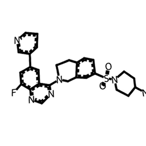 NC1CCN(S(=O)(=O)c2ccc3c(c2)CN(c2ncnc4c(F)cc(-c5cccnc5)cc24)CC3)CC1